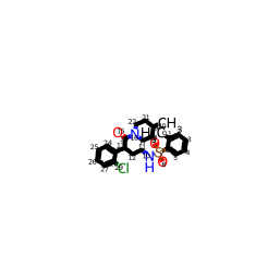 Cc1ccccc1S(=O)(=O)NCCC(C(=O)N1CCC(C)CC1)c1ccccc1Cl